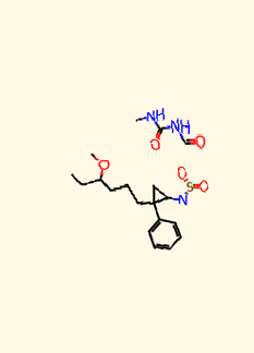 CCC(CCCC1(c2ccccc2)CC1N=S(=O)=O)OC.CNC(=O)NC=O